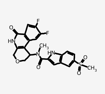 CN(C(=O)c1cc2cc(S(C)(=O)=O)ccc2[nH]1)C1COCc2[nH]c(=O)c3cc(F)c(F)cc3c21